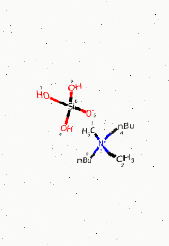 CCCC[N+](C)(C)CCCC.[O-][Si](O)(O)O